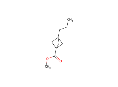 CCCC12CC(C(=O)OC)(C1)C2